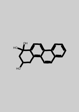 OC1Cc2c(ccc3c2ccc2ccccc23)C(O)(O)C1